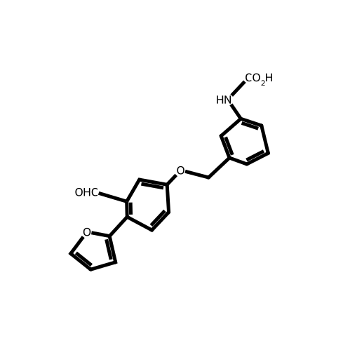 O=Cc1cc(OCc2cccc(NC(=O)O)c2)ccc1-c1ccco1